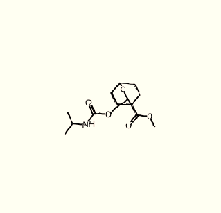 COC(=O)C12CCC(CC1)CC2OC(=O)NC(C)C